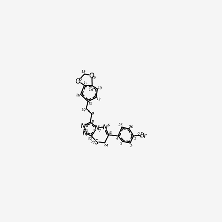 Brc1ccc(C2=Nn3c(CCc4ccc5c(c4)OCO5)nnc3SC2)cc1